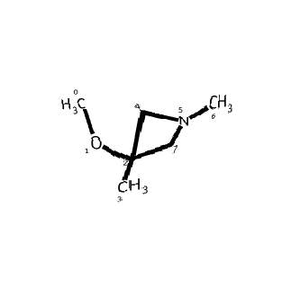 COC1(C)CN(C)C1